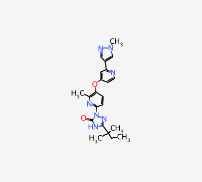 CCC(C)(C)c1nn(-c2ccc(Oc3ccnc(-c4cnn(C)c4)c3)c(C)n2)c(=O)[nH]1